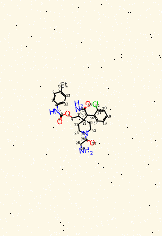 CCc1ccc(NC(=O)OCCC2(C(C(N)=O)c3ccccc3Cl)CCN(C(=O)CN)CC2)cc1